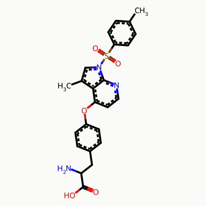 Cc1ccc(S(=O)(=O)n2cc(C)c3c(Oc4ccc(CC(N)C(=O)O)cc4)ccnc32)cc1